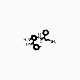 N=C(c1cccc(F)c1)c1cc(NC(=O)C(CCN)C2=CCCC=C2)ccc1N